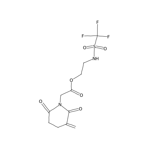 C=C1CCC(=O)N(CC(=O)OCCNS(=O)(=O)C(F)(F)F)C1=O